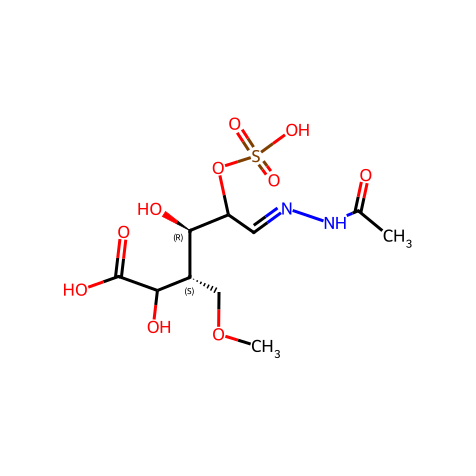 COC[C@H](C(O)C(=O)O)[C@@H](O)C(C=NNC(C)=O)OS(=O)(=O)O